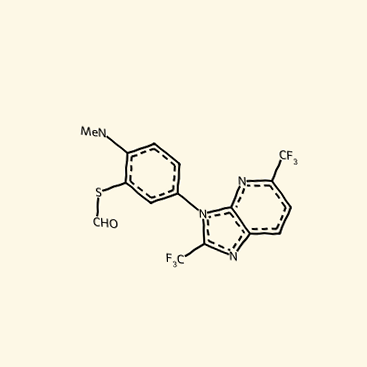 CNc1ccc(-n2c(C(F)(F)F)nc3ccc(C(F)(F)F)nc32)cc1SC=O